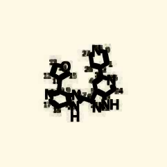 c1cc(-c2cc3c(-c4nc5c(-c6ccoc6)nccc5[nH]4)n[nH]c3cn2)ccn1